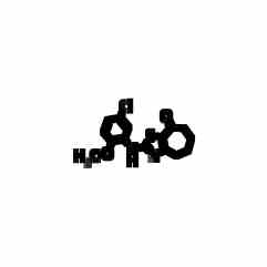 COc1ccc(Cl)cc1Nc1nc2c(s1)C(=O)CCCC2